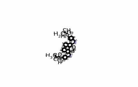 C=C(C)C(=O)Nc1ccc(/C=C\c2cc3ccccc3c3c2OCOc2c(/C=C\c4ccc(NC(=O)C(=C)C)cc4)cc4ccccc4c2-3)cc1